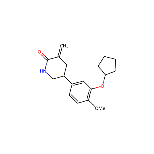 C=C1CC(c2ccc(OC)c(OC3CCCC3)c2)CNC1=O